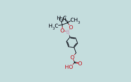 CC1(C)OB(c2ccc(COC(=O)O)cc2)OC1(C)C